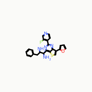 NC(Cc1ccccc1)C(N)c1nc(-c2ccncc2F)nc2c(-c3ccco3)csc12